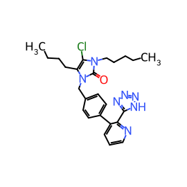 CCCCCn1c(Cl)c(CCCC)n(Cc2ccc(-c3cccnc3-c3nnn[nH]3)cc2)c1=O